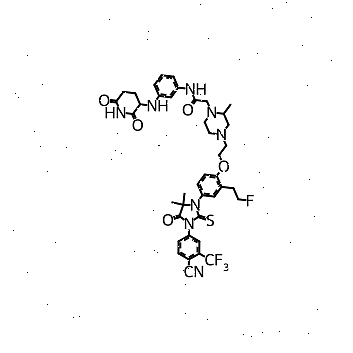 CC1CN(CCOc2ccc(N3C(=S)N(c4ccc(C#N)c(C(F)(F)F)c4)C(=O)C3(C)C)cc2CCF)CCN1CC(=O)Nc1cccc(NC2CCC(=O)NC2=O)c1